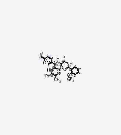 C=C(/C=C\C(=C/C)OC)[C@H](NC(=O)[C@H](C)NC(=O)c1ccccc1OC(F)(F)F)C(=O)N[C@H](C(=O)C(F)(F)F)C(C)C